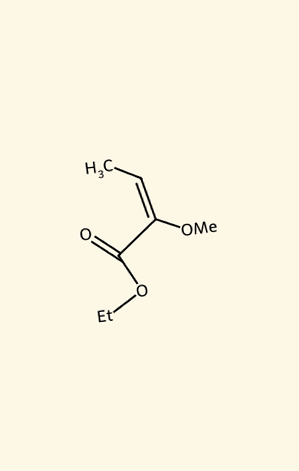 CC=C(OC)C(=O)OCC